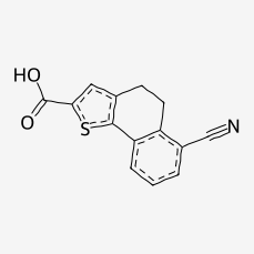 N#Cc1cccc2c1CCc1cc(C(=O)O)sc1-2